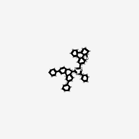 c1ccc(-c2ccc3c(c2)-c2cc(-c4ccccc4)ccc2C(c2nc(-c4ccccc4)nc(-c4cc5oc6cccc7c8ccccc8c(c4)c5c67)n2)C3)cc1